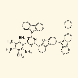 Bc1c(B)c(B)c(-c2nc(-c3cccc4c3oc3ccc(-n5c6ccccc6c6ccc(-c7ccccc7)cc65)cc34)nc(-n3c4ccccc4c4ccccc43)n2)c(B)c1B